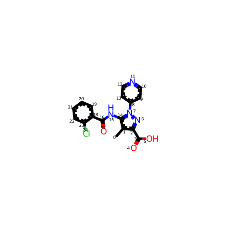 Cc1c(C(=O)O)nn(-c2ccncc2)c1NC(=O)c1ccccc1Cl